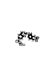 CC(C)(C)OC(=O)N1CCc2cnc(Nc3ccc4c(c3)CS(=O)(=O)C4)nc2C1